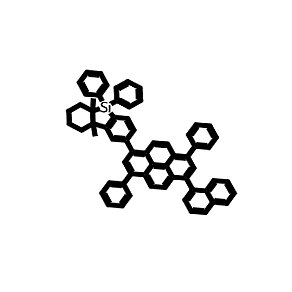 CC12CCCCC1(C)[Si](c1ccccc1)(c1ccccc1)c1ccc(-c3cc(-c4ccccc4)c4ccc5c(-c6cccc7ccccc67)cc(-c6ccccc6)c6ccc3c4c65)cc12